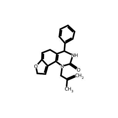 C=C(C)CN1C(=O)NC(c2ccccc2)C2=C1C1=CCOC1=CC2